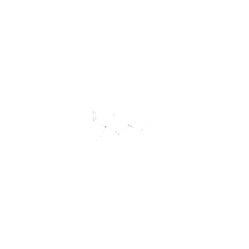 C=CCNC(O)(O)C=C